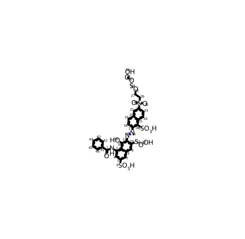 O=C(Nc1cc(S(=O)(=O)O)cc2cc(SOO)c(/N=N/c3ccc4cc(S(=O)(=O)CCOSOOO)ccc4c3S(=O)(=O)O)c(O)c12)c1ccccc1